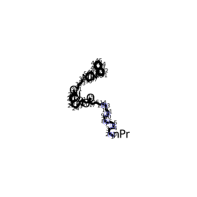 CCC/C=C\C/C=C\C/C=C\C/C=C\C/C=C\CCCC(=O)OCN1CCCc2ccc(OCCCCN3CCN(c4cccc5ccccc45)CC3)nc21